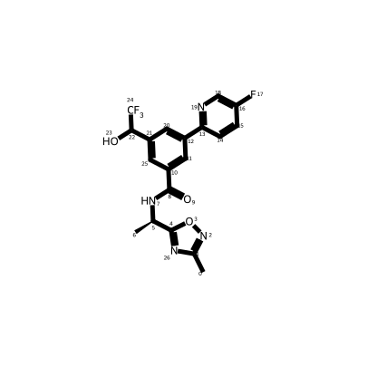 Cc1noc([C@@H](C)NC(=O)c2cc(-c3ccc(F)cn3)cc(C(O)C(F)(F)F)c2)n1